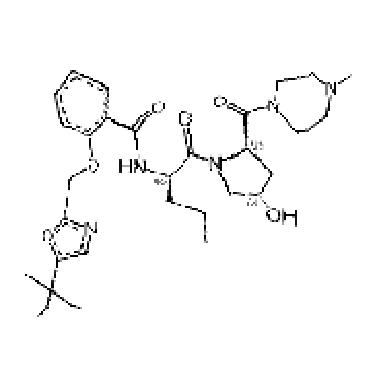 CCC[C@@H](NC(=O)c1ccccc1OCc1ncc(C(C)(C)C)o1)C(=O)N1C[C@@H](O)C[C@@H]1C(=O)N1CCN(C)CC1